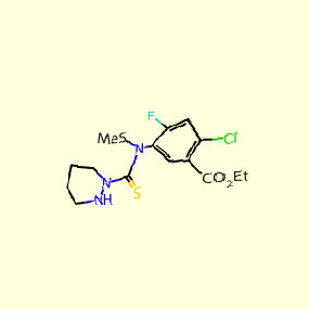 CCOC(=O)c1cc(N(SC)C(=S)N2CCCCN2)c(F)cc1Cl